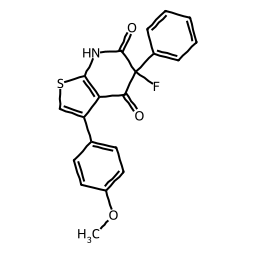 COc1ccc(-c2csc3c2C(=O)C(F)(c2ccccc2)C(=O)N3)cc1